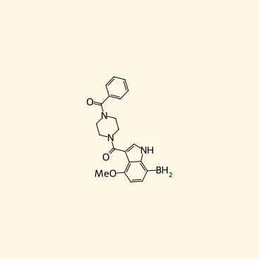 Bc1ccc(OC)c2c(C(=O)N3CCN(C(=O)c4ccccc4)CC3)c[nH]c12